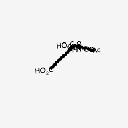 CC(=O)COCCOCCCC(=N)C(=O)CC[C@@H](NC(=O)CCCCCCCCCCCCCCCCC(=O)O)C(=O)O